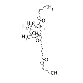 CCC/C=C\COC(=O)CCCCCCC(CCCCCCC(=O)OC/C=C\CCC)OC(=O)CC(C)(C)CC(C)CN(C)C